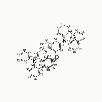 c1ccc(-c2ccccc2N(c2ccccc2)c2cc3c4c(ccc5cc(N(c6ccccc6)c6ccccc6-c6ccccc6)c6cccc(c6c54)O3)c2)cc1